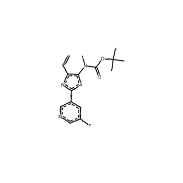 C=Cc1nc(-c2cncc(F)c2)sc1N(C)C(=O)OC(C)(C)C